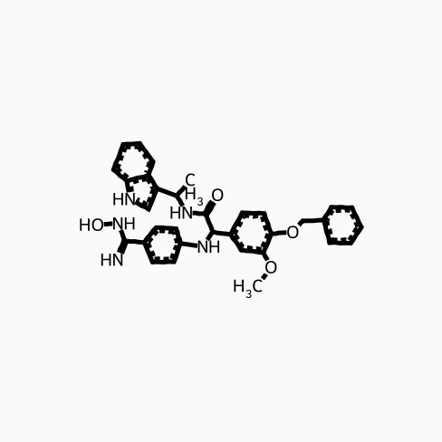 COc1cc(C(Nc2ccc(C(=N)NO)cc2)C(=O)NC(C)c2c[nH]c3ccccc23)ccc1OCc1ccccc1